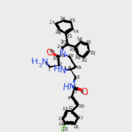 NC[C@@H]1N[C@H](CNC(=O)/C=C/c2ccc(F)cc2)CCN(CC(c2ccccc2)c2ccccc2)C1=O